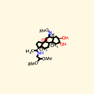 CO/N=C1\C=C2C(CC[C@]3(C)[C@@H](C(C)NCC(OC)OC)CC[C@@]23O)[C@@]2(C)C[C@H](O)[C@H](O)C[C@@H]12